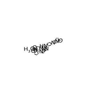 CN(c1ccccc1Cn1ccc2cnc(Nc3ccc(N4CCN5C(=O)CCC5C4)cc3)nc21)S(C)(=O)=O